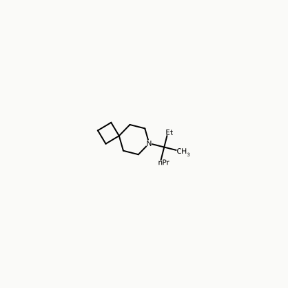 CCCC(C)(CC)N1CCC2(CCC2)CC1